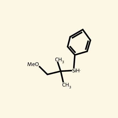 COCC(C)(C)[SiH]c1ccccc1